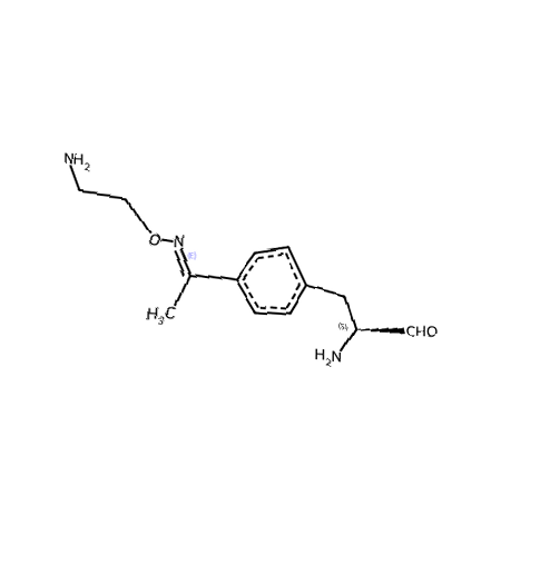 C/C(=N\OCCN)c1ccc(C[C@H](N)C=O)cc1